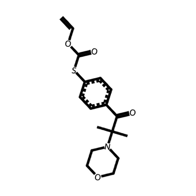 C=COC(=O)Sc1ccc(C(=O)C(C)(C)N2CCOCC2)cc1